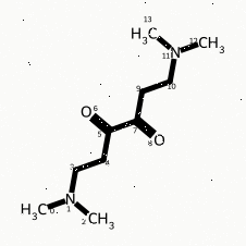 CN(C)CCC(=O)C(=O)CCN(C)C